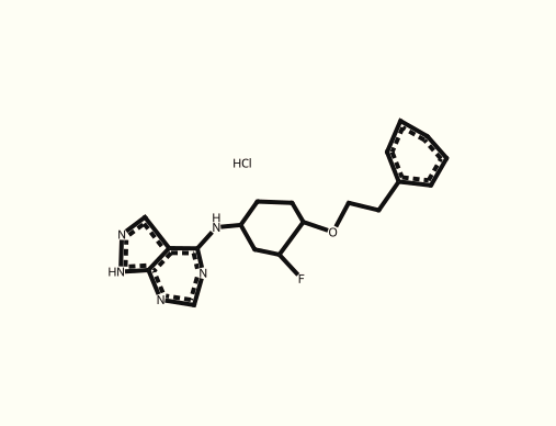 Cl.FC1CC(Nc2ncnc3[nH]ncc23)CCC1OCCc1ccccc1